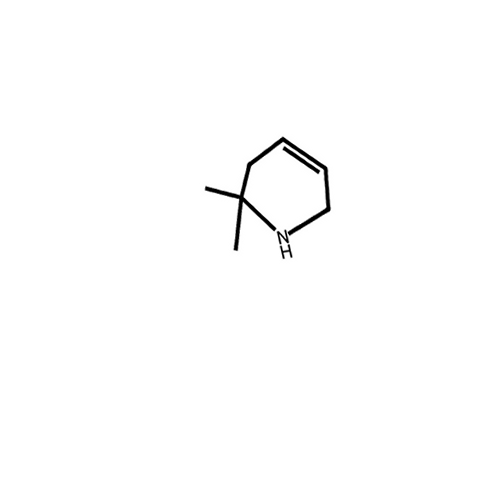 CC1(C)CC=CCN1